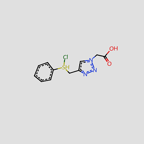 O=C(O)Cn1cc(C[SH](Cl)c2ccccc2)nn1